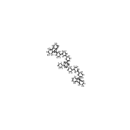 c1ccc(-c2nc(-c3cccc(-c4cccc(-c5cccc(-n6c7ccccc7c7ccccc76)c5)c4)c3)nc(-c3cccc(-c4cccc(-c5cccc(-n6c7ccccc7c7ccccc76)c5)c4)c3)n2)cc1